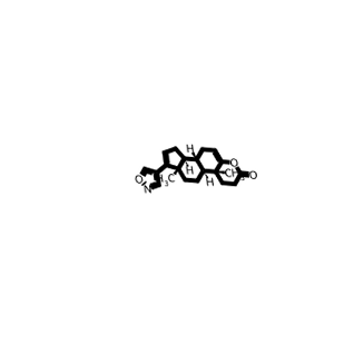 C[C@]12CCC(=O)OC1=CC[C@@H]1[C@@H]2CC[C@]2(C)C(c3cnoc3)=CC[C@@H]12